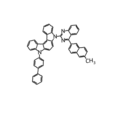 Cc1ccc2cc(-c3nc(-n4c5ccccc5c5c6c7ccccc7n(-c7ccc(-c8ccccc8)cc7)c6ccc54)nc4ccccc34)ccc2c1